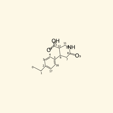 CCc1ccc(C2CC(=O)NCC2C(=O)O)cc1